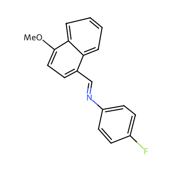 COc1ccc(C=Nc2ccc(F)cc2)c2ccccc12